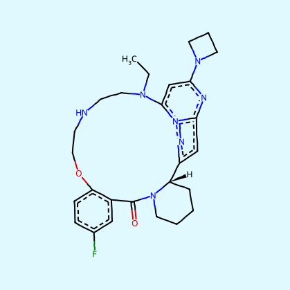 CCN1CCNCCOc2ccc(F)cc2C(=O)N2CCCC[C@H]2c2cc3nc(N4CCC4)cc1n3n2